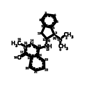 CN(C)[C@@H]1c2ccccc2C[C@@H]1Nc1nn(C)c(=O)c2ccccc12